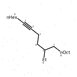 [CH2]CCCCCC#CCCC(CC)CCCCCCCC[CH2]